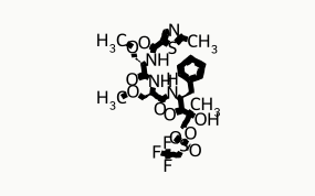 COC[C@H](NC(=O)c1cnc(C)s1)C(=O)N[C@H](COC)C(=O)N[C@@H](Cc1ccccc1)C(=O)C(C)(O)COS(=O)(=O)CC(F)(F)F